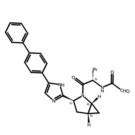 CC(C)[C@H](NC(=O)C=O)C(=O)N1[C@@H]2C[C@@H]2C[C@H]1c1ncc(-c2ccc(-c3ccccc3)cc2)[nH]1